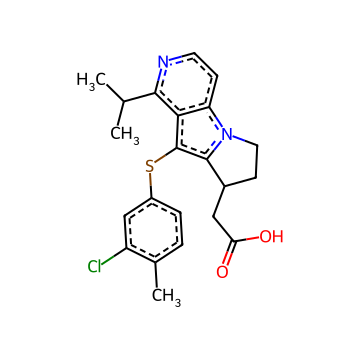 Cc1ccc(Sc2c3n(c4ccnc(C(C)C)c24)CCC3CC(=O)O)cc1Cl